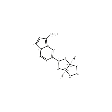 O=C(O)c1cnn2ccc(N3C[C@H]4CCC[C@H]4C3)cc12